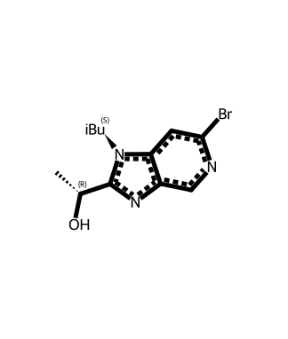 CC[C@H](C)n1c([C@@H](C)O)nc2cnc(Br)cc21